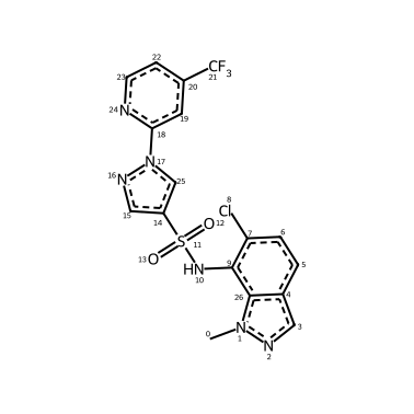 Cn1ncc2ccc(Cl)c(NS(=O)(=O)c3cnn(-c4cc(C(F)(F)F)ccn4)c3)c21